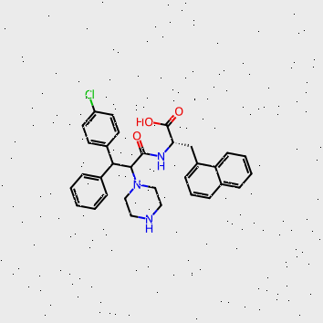 O=C(N[C@@H](Cc1cccc2ccccc12)C(=O)O)C(C(c1ccccc1)c1ccc(Cl)cc1)N1CCNCC1